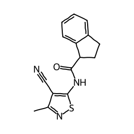 Cc1nsc(NC(=O)C2CCc3ccccc32)c1C#N